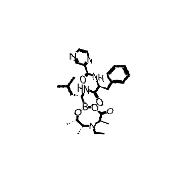 CCN1[C@H](C)C(=O)OB([C@H](CC(C)C)NC(=O)[C@H](Cc2ccccc2)NC(=O)c2cnccn2)O[C@@H](C)[C@H]1C